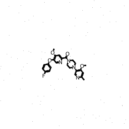 COc1cc(C(=O)N2CCN(c3cnc(C)cc3OC)CC2)ncc1Oc1ccc(F)cc1